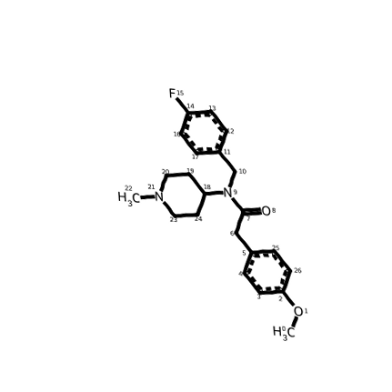 COc1ccc(CC(=O)N(Cc2ccc(F)cc2)C2CCN(C)CC2)cc1